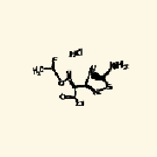 CC(F)O/N=C(\C(=O)Cl)c1nsc(N)n1.Cl